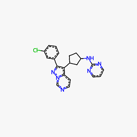 Clc1cccc(-c2nn3cnccc3c2C2CCC(Nc3ncccn3)C2)c1